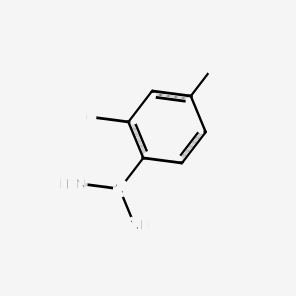 Cc1ccc(N(N)N)c(C)c1